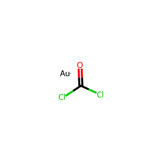 O=C(Cl)Cl.[Au]